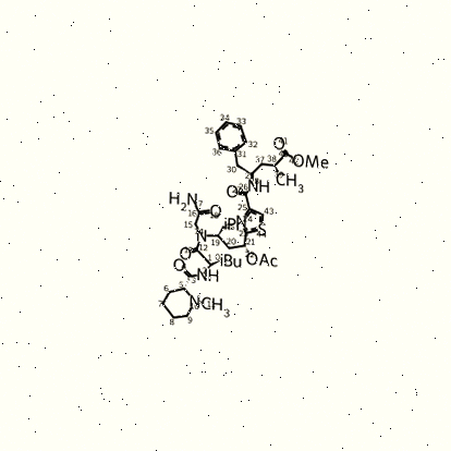 CC[C@H](C)[C@H](NC(=O)[C@H]1CCCCN1C)C(=O)N(CC(N)=O)[C@H](C[C@@H](OC(C)=O)c1nc(C(=O)N[C@@H](Cc2ccccc2)C[C@H](C)C(=O)OC)cs1)C(C)C